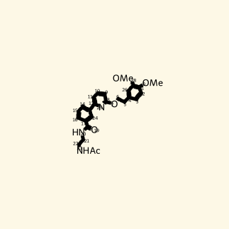 COc1ccc(CCOc2cccc(-c3cccc(C(=O)NCCNC(C)=O)c3)n2)cc1OC